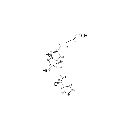 O=C(O)CCCCC1=C[C@H]2C[C@@H](O)[C@@H](/C=C/CC(O)C3CCCC3)[C@H]2C1